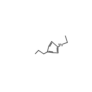 CCCc1cc[c]([Mg][CH2]C)cc1